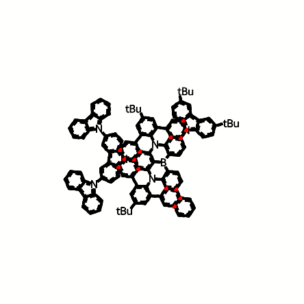 CC(C)(C)c1cc(-c2ccccc2)c(N2c3cc(-c4ccccc4)ccc3B3c4ccc(-n5c6ccc(C(C)(C)C)cc6c6cc(C(C)(C)C)ccc65)cc4N(c4c(-c5ccccc5)cc(C(C)(C)C)cc4-c4ccccc4)c4cc(-n5c6ccc(-n7c8ccccc8c8ccccc87)cc6c6cc(-n7c8ccccc8c8ccccc87)ccc65)cc2c43)c(-c2ccccc2)c1